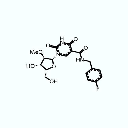 CO[C@@H]1[C@@H](O)[C@@H](CO)O[C@H]1n1cc(C(=O)NCc2ccc(F)cc2)c(=O)[nH]c1=O